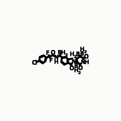 BC(NC(=O)C(F)(F)c1ccc(Cl)cc1)c1ccc2c(c1)CN(C1(B)CC(B)(B)C(=O)NC1=O)C2=O